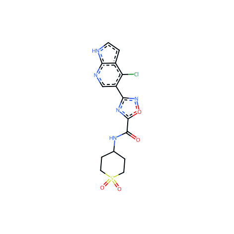 O=C(NC1CCS(=O)(=O)CC1)c1nc(-c2cnc3[nH]ccc3c2Cl)no1